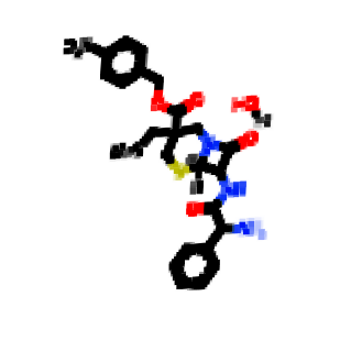 CCO.CSCC1(C(=O)OCc2ccc([N+](=O)[O-])cc2)CS[C@@H]2C(NC(=O)C(N)c3ccccc3)C(=O)N2C1